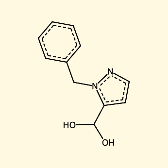 OC(O)c1ccnn1Cc1ccccc1